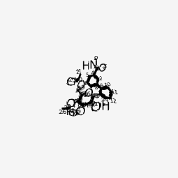 CNC(=O)c1cccc(-c2ccccc2[C@H]2O[C@H](COC(C)=O)[C@H](OC(C)=O)[C@H](O)[C@@H]2O)c1